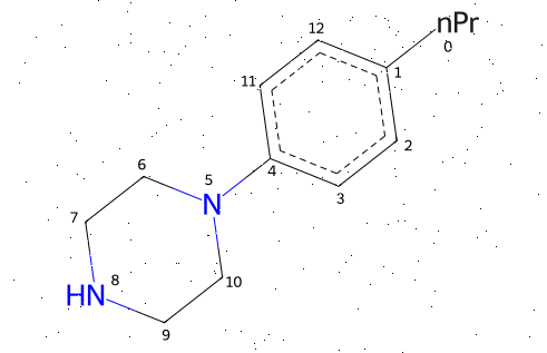 CCCc1ccc(N2CCNCC2)cc1